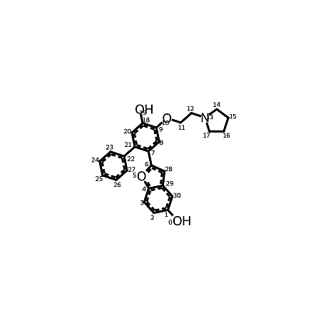 Oc1ccc2oc(-c3cc(OCCN4CCCC4)c(O)cc3-c3ccccc3)cc2c1